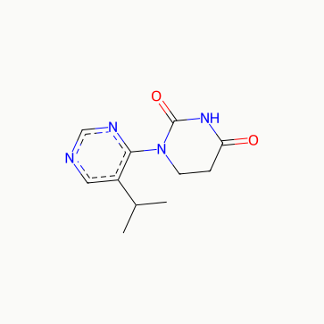 CC(C)c1cncnc1N1CCC(=O)NC1=O